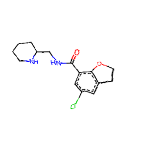 O=C(NCC1CCCCN1)c1cc(Cl)cc2c1OCC2